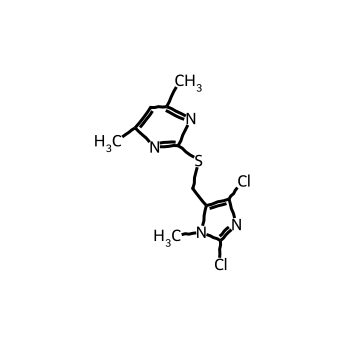 Cc1cc(C)nc(SCc2c(Cl)nc(Cl)n2C)n1